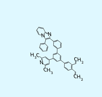 C=Cc1ccc(-c2cc(-c3cccc(-c4nc5ccccn5c4-c4ccccc4)c3)cc(-c3cc(C)nc(C)c3)c2)cc1C=C